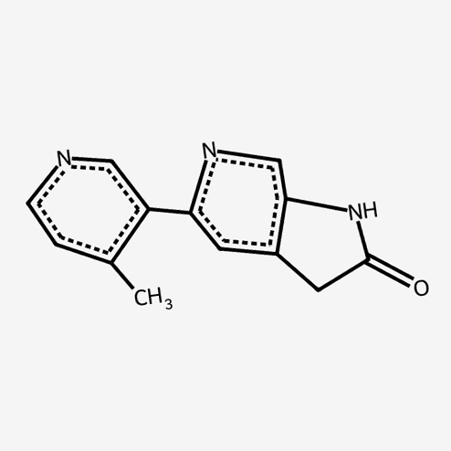 Cc1ccncc1-c1cc2c(cn1)NC(=O)C2